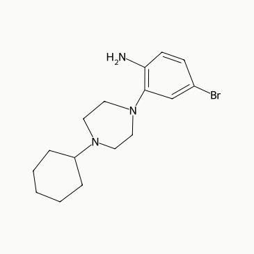 Nc1ccc(Br)cc1N1CCN(C2CCCCC2)CC1